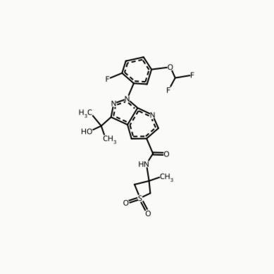 CC1(NC(=O)c2cnc3c(c2)c(C(C)(C)O)nn3-c2cc(OC(F)F)ccc2F)CS(=O)(=O)C1